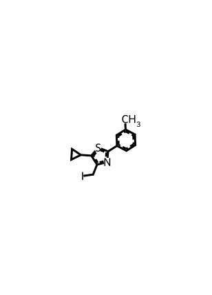 Cc1cccc(-c2nc(CI)c(C3CC3)s2)c1